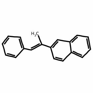 C/C(=C\c1ccccc1)c1ccc2ccccc2c1